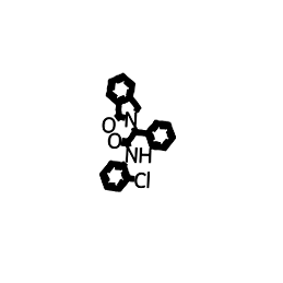 O=C(Nc1ccccc1Cl)C(c1ccccc1)N1Cc2ccccc2C1=O